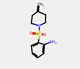 C=C1CCN(S(=O)(=O)c2ccccc2N)CC1